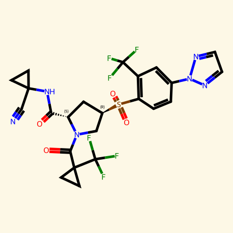 N#CC1(NC(=O)[C@@H]2C[C@@H](S(=O)(=O)c3ccc(-n4nccn4)cc3C(F)(F)F)CN2C(=O)C2(C(F)(F)F)CC2)CC1